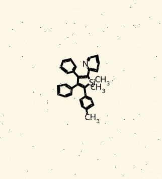 Cc1ccc(C2=C(c3ccccc3)C(c3ccccc3)=C(c3ccccn3)[Si]2(C)C)cc1